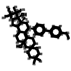 CSc1ccc(-c2ccc([C@H]3C[C@@]4(C)C(CC[C@@]4(O)[C@@](C)(F)C(F)(F)F)C4CC[C@@]5(O)CC6(CCC5=C43)OCC(C)(C)CO6)cc2)cc1